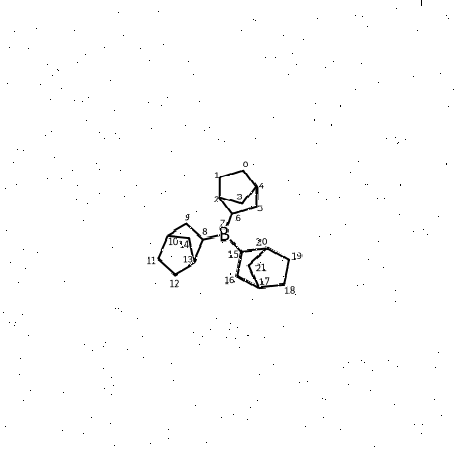 C1CC2CC1CC2B(C1CC2CCC1C2)C1CC2CCC1C2